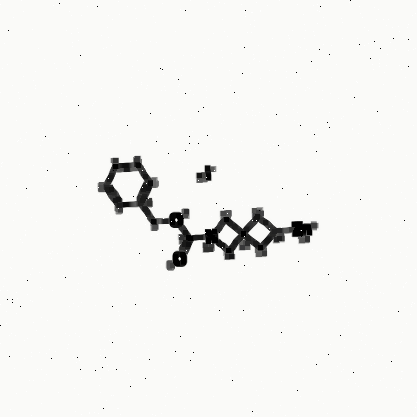 O=C(OCc1ccccc1)N1CC2(C[CH]([Zn+])C2)C1.[I-]